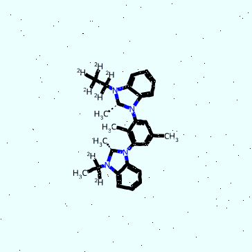 [2H]C([2H])(C)N1c2ccccc2N(c2cc(C)cc(N3c4ccccc4N(C([2H])([2H])C([2H])([2H])[2H])[C@H]3C)c2C)[C@H]1C